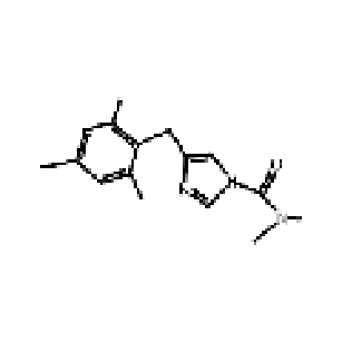 Cc1cc(C)c(Cc2cn(C(=O)N(C)C)cn2)c(C)c1